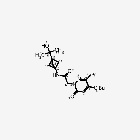 CC(C)COc1cc(=O)n(CC(=O)NC23CC(C(C)(C)O)(C2)C3)nc1C(C)C